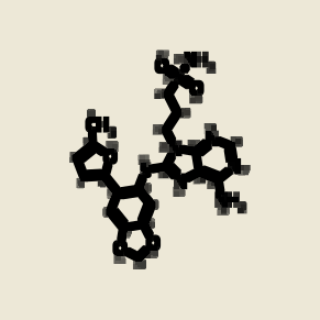 Cc1ccc(-c2cc3c(cc2Sc2nc4c(N)ncnc4n2CCCS(N)(=O)=O)OCO3)o1